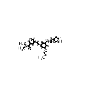 C=CCOc1cc(/C=C/c2cncc(C(=O)N(C)C)c2)cc(CNCC2CCNC2)c1